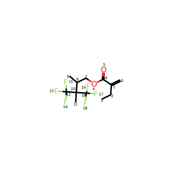 C=C(CC)C(=O)OCC(C)C(C)(C(F)(F)F)C(F)(F)F